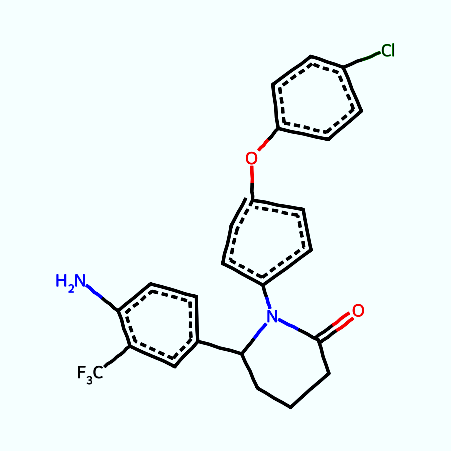 Nc1ccc(C2CCCC(=O)N2c2ccc(Oc3ccc(Cl)cc3)cc2)cc1C(F)(F)F